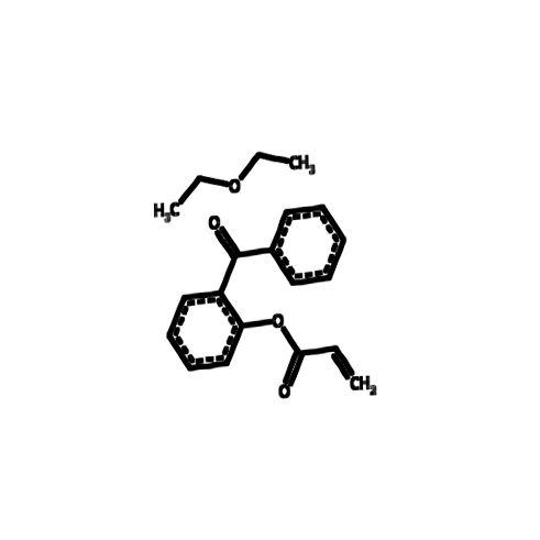 C=CC(=O)Oc1ccccc1C(=O)c1ccccc1.CCOCC